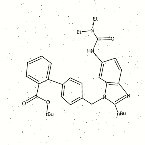 CCCCc1nc2ccc(NC(=O)N(CC)CC)cc2n1Cc1ccc(-c2ccccc2C(=O)OC(C)(C)C)cc1